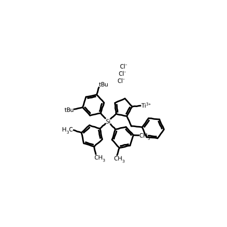 Cc1cc(C)cc([Si](C2=CC[C]([Ti+3])=C2Cc2ccccc2)(c2cc(C)cc(C)c2)c2cc(C(C)(C)C)cc(C(C)(C)C)c2)c1.[Cl-].[Cl-].[Cl-]